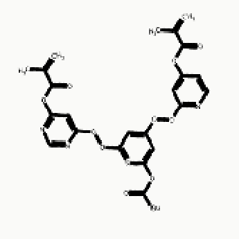 C=C(C)C(=O)Oc1ccnc(OOc2cc(OOc3cc(OC(=O)C(=C)C)ncn3)nc(OC(=O)C(C)(C)C)c2)c1